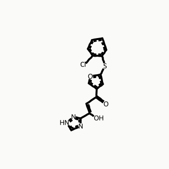 O=C(C=C(O)c1nc[nH]n1)c1coc(Sc2ccccc2Cl)c1